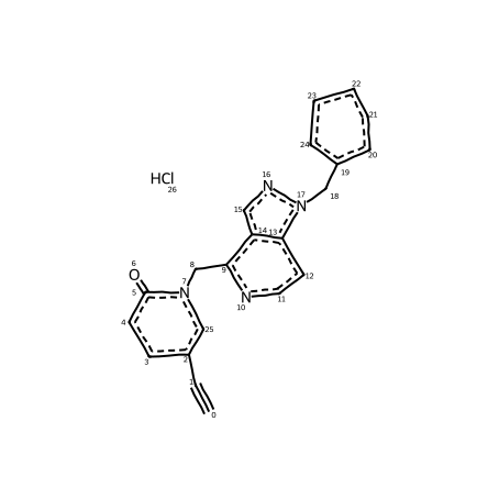 C#Cc1ccc(=O)n(Cc2nccc3c2cnn3Cc2ccccc2)c1.Cl